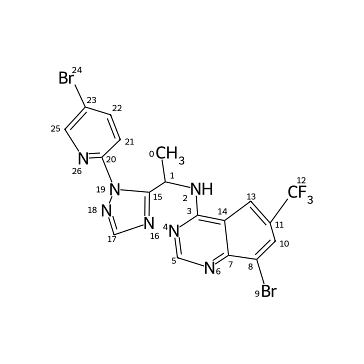 CC(Nc1ncnc2c(Br)cc(C(F)(F)F)cc12)c1ncnn1-c1ccc(Br)cn1